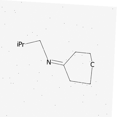 CC(C)CN=C1CCCCC1